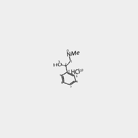 CNCC(O)c1ccccc1.Cl